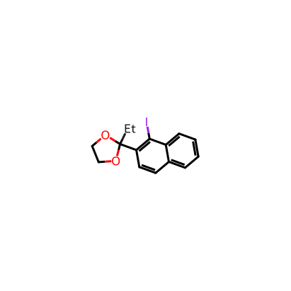 CCC1(c2ccc3ccccc3c2I)OCCO1